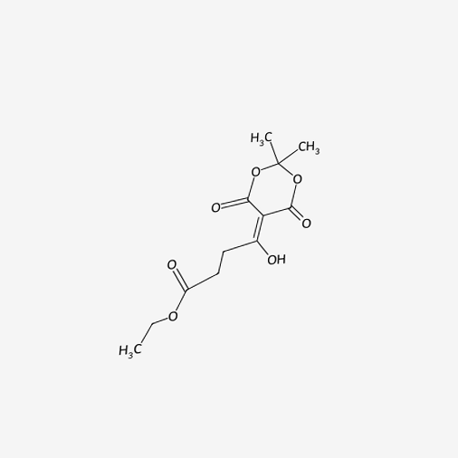 CCOC(=O)CCC(O)=C1C(=O)OC(C)(C)OC1=O